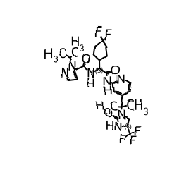 CC(C)n1nccc1C(=O)N[C@H](C(=O)Nc1cc(C(C)(C)N2C[C@@H](C(F)(F)F)NC2=O)ccn1)C1CCC(F)(F)CC1